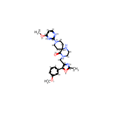 COc1cccc(-c2oc(C)nc2CN2CCNC3(CCN(c4nccc(OC)n4)CC3)C2=O)c1